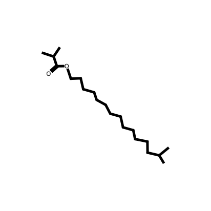 CC(C)CCCCCCCCCCCCCOC(=O)C(C)C